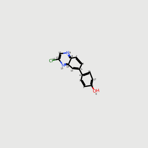 Oc1ccc(-c2ccc3ncc(Cl)nc3c2)cc1